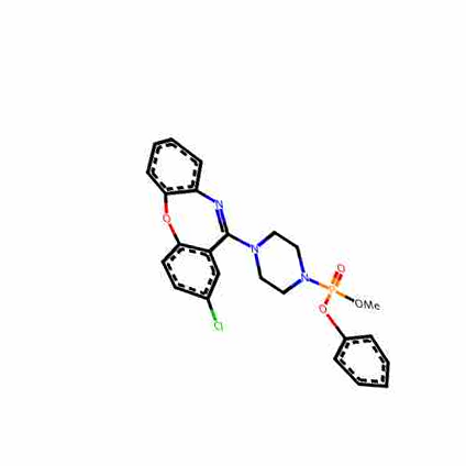 COP(=O)(Oc1ccccc1)N1CCN(C2=Nc3ccccc3Oc3ccc(Cl)cc32)CC1